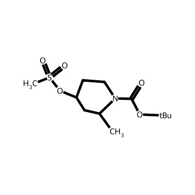 CC1CC(OS(C)(=O)=O)CCN1C(=O)OC(C)(C)C